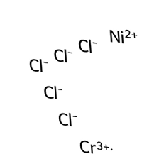 [Cl-].[Cl-].[Cl-].[Cl-].[Cl-].[Cr+3].[Ni+2]